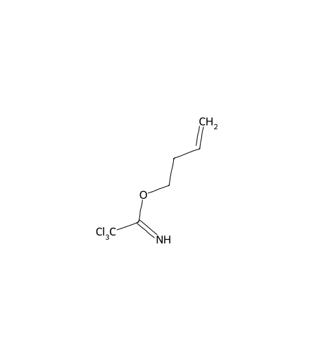 C=CCCOC(=N)C(Cl)(Cl)Cl